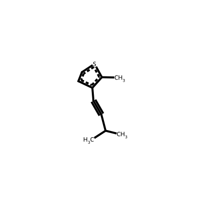 Cc1sccc1C#CC(C)C